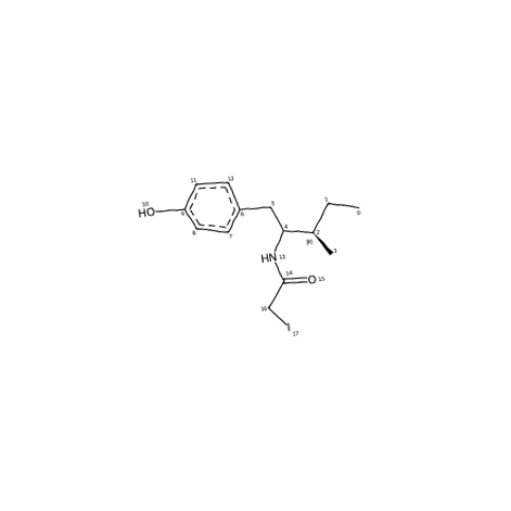 CC[C@@H](C)C(Cc1ccc(O)cc1)NC(=O)CI